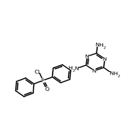 Nc1nc(N)nc(N)n1.O=P(Cl)(c1ccccc1)c1ccccc1